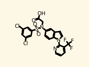 O=C(O)CN(c1ccc2c(ccn2-c2ncccc2C(F)(F)F)c1)S(=O)(=O)c1cc(Cl)cc(Cl)c1